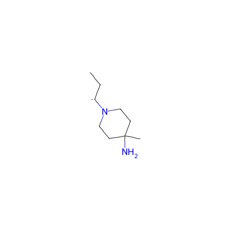 CC[CH]N1CCC(C)(N)CC1